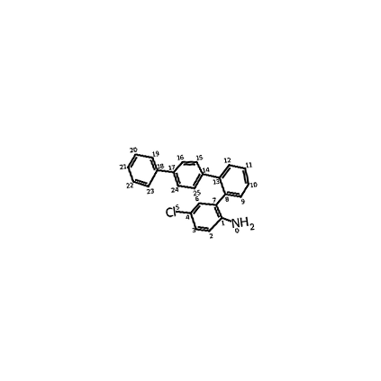 Nc1ccc(Cl)cc1-c1ccccc1-c1ccc(-c2ccccc2)cc1